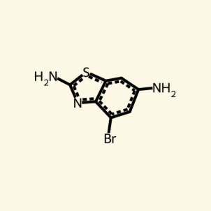 Nc1cc(Br)c2nc(N)sc2c1